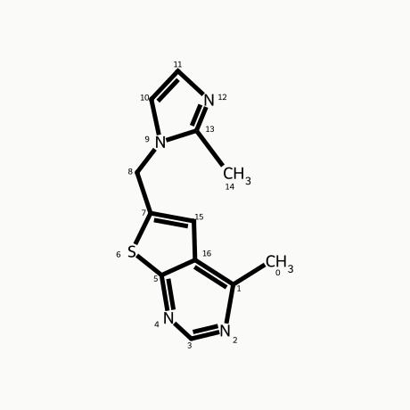 Cc1ncnc2sc(Cn3ccnc3C)cc12